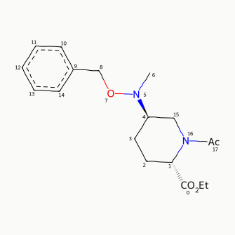 CCOC(=O)[C@@H]1CC[C@@H](N(C)OCc2ccccc2)CN1C(C)=O